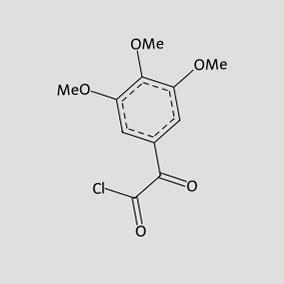 COc1cc(C(=O)C(=O)Cl)cc(OC)c1OC